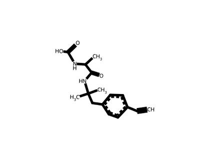 C#Cc1ccc(CC(C)(C)NC(=O)C(C)NC(=O)O)cc1